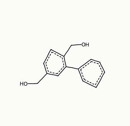 OCc1ccc(CO)c(-c2ccccc2)c1